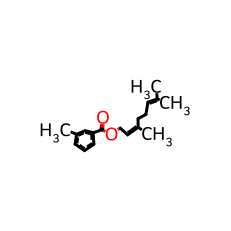 CC(C)=CCCC(C)=CCOC(=O)c1cccc(C)c1